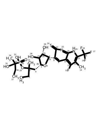 CCC(C)(C[C@H]1O[C@@H](c2cc3c(F)c(C)c(C(F)(F)F)[nH]c-3nc2=S)[C@@H](O)C1O)OP(=O)(O)C(C)(O)CC